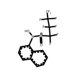 O=S(=O)(N(O)c1cccc2ccccc12)C(F)(F)C(F)(F)C(F)(F)C(F)(F)F